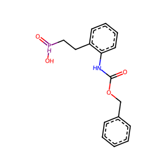 O=C(Nc1ccccc1CC[PH](=O)O)OCc1ccccc1